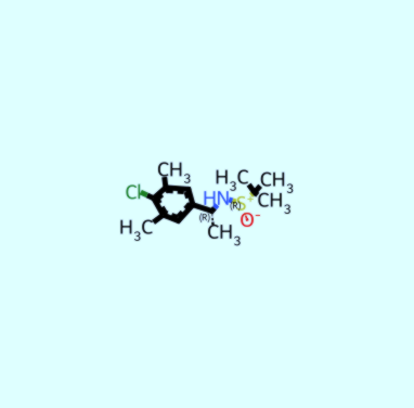 Cc1cc([C@@H](C)N[S@@+]([O-])C(C)(C)C)cc(C)c1Cl